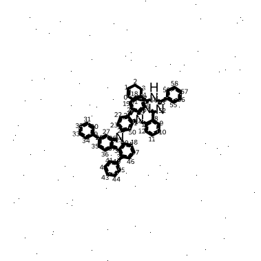 C1=CCCC(C2N=C(c3ccccc3-n3c4ccccc4c4ccc(-n5c6cc(-c7ccccc7)ccc6c6c(-c7ccccc7)cccc65)cc43)N=C(c3ccccc3)N2)=C1